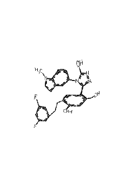 Cn1ccc2cc(-n3c(O)nnc3-c3cc(CCc4cc(F)cc(F)c4)c(O)cc3O)ccc21